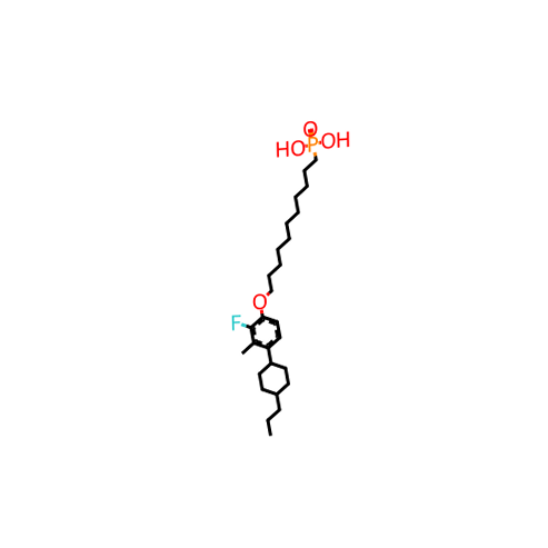 CCCC1CCC(c2ccc(OCCCCCCCCCCCP(=O)(O)O)c(F)c2C)CC1